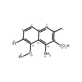 CCc1ccc2nc(C)c(C(=O)O)c(N)c2c1OC(C)C